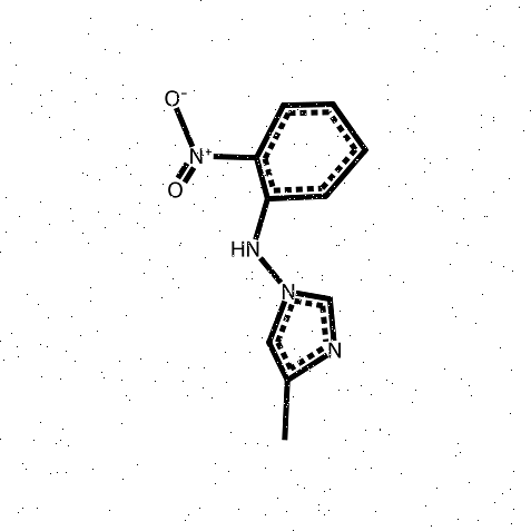 Cc1cn(Nc2ccccc2[N+](=O)[O-])cn1